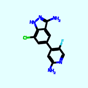 Nc1cc(-c2cc(Cl)c3[nH]nc(N)c3c2)c(F)cn1